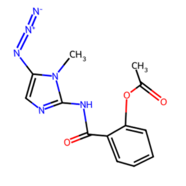 CC(=O)Oc1ccccc1C(=O)Nc1ncc(N=[N+]=[N-])n1C